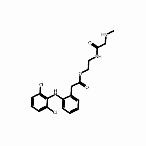 CNCC(=O)NCCOC(=O)Cc1ccccc1Nc1c(Cl)cccc1Cl